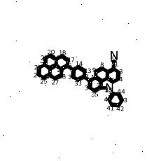 N#Cc1ccc2c3c1ccc1c(-c4ccc(-c5ccc6ccc7cccc8ccc5c6c78)cc4)ccc(c13)n2-c1ccccc1